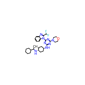 CC(N[C@H]1CC[C@H](Nc2nc(N3CCOCC3)nc(-n3c(C(F)F)nc4ccccc43)n2)CC1)C1CCCCC1